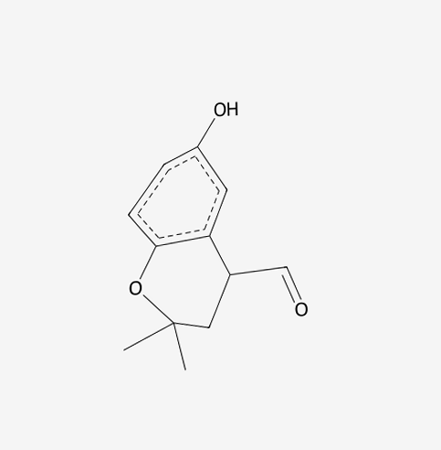 CC1(C)CC(C=O)c2cc(O)ccc2O1